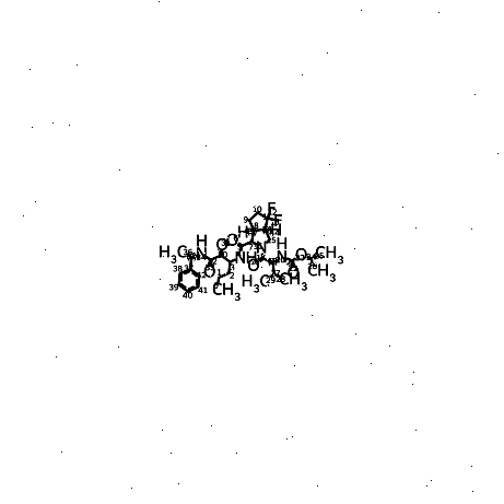 CCCC(NC(=O)C1[C@H]2CCC(F)(F)[C@H]2CN1C(=O)[C@@H](NC(=O)OC(C)C)C(C)C)C(=O)C(=O)N[C@H](C)c1ccccc1